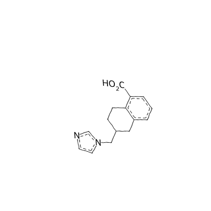 O=C(O)c1cccc2c1CCC(Cn1ccnc1)C2